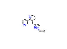 C(=C1CCCN=C1c1cccnc1)c1ccn(CC2CC2)n1